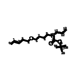 CC=CCCOCCCCN(CCC)C(=O)OC(C)(C)C